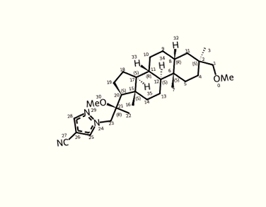 COC[C@@]1(C)CC[C@@]2(C)[C@H](CC[C@@H]3[C@@H]2CC[C@@]2(C)[C@H]3CC[C@@H]2[C@](C)(Cn2cc(C#N)cn2)OC)C1